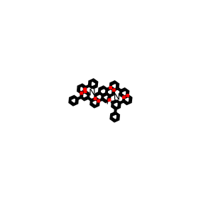 Fc1cc(-c2ccccc2)cc(-c2ccccc2)c1N(c1ccccc1-c1ccccc1)c1ccc2ccc3c(N(c4ccccc4-c4ccccc4)c4c(F)cc(-c5ccccc5)cc4-c4ccccc4)ccc4ccc1c2c43